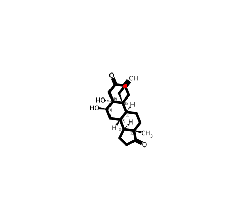 C#CC[C@]12CCC(=O)C[C@]1(O)[C@H](O)C[C@@H]1[C@@H]2CC[C@]2(C)C(=O)CC[C@@H]12